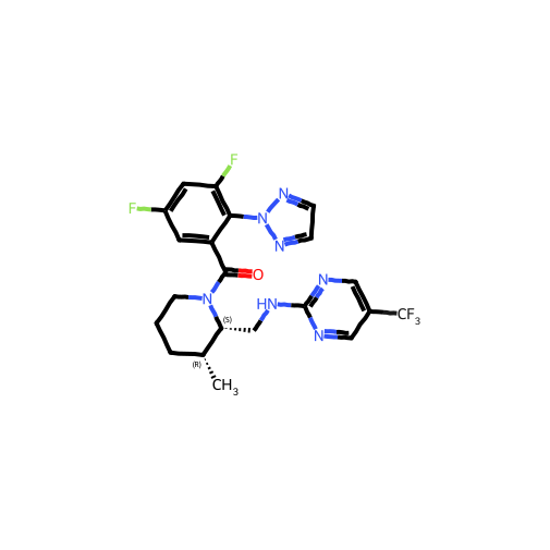 C[C@@H]1CCCN(C(=O)c2cc(F)cc(F)c2-n2nccn2)[C@@H]1CNc1ncc(C(F)(F)F)cn1